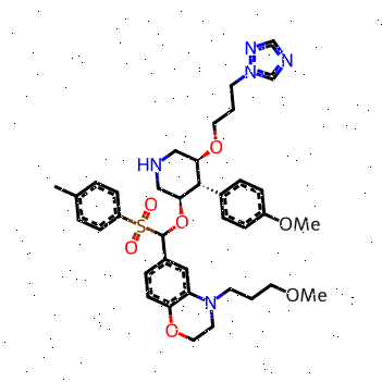 COCCCN1CCOc2ccc(C(O[C@H]3CNC[C@@H](OCCCn4cncn4)[C@@H]3c3ccc(OC)cc3)S(=O)(=O)c3ccc(C)cc3)cc21